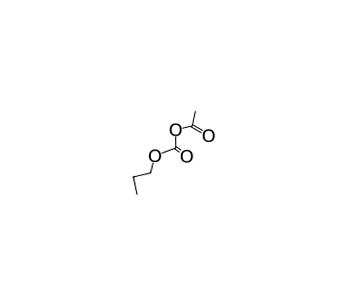 CCCOC(=O)OC(C)=O